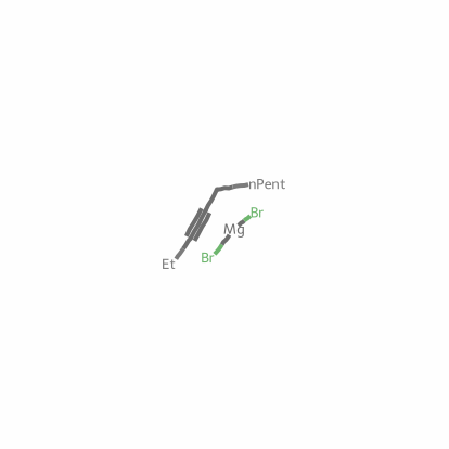 [Br][Mg][Br].[CH2]CC#CCCCCCC